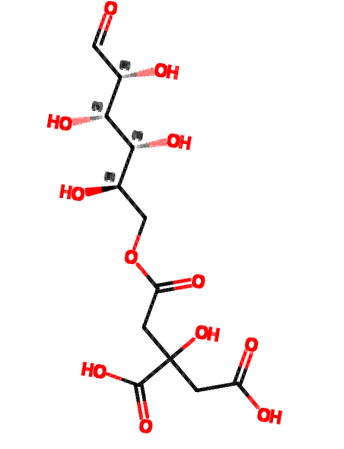 O=C[C@H](O)[C@@H](O)[C@H](O)[C@H](O)COC(=O)CC(O)(CC(=O)O)C(=O)O